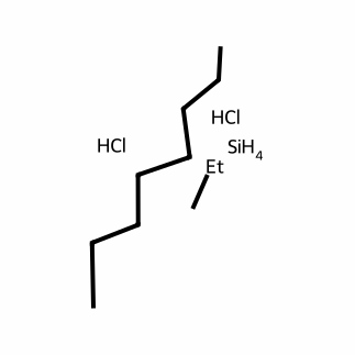 CCC.CCCCCCCC.Cl.Cl.[SiH4]